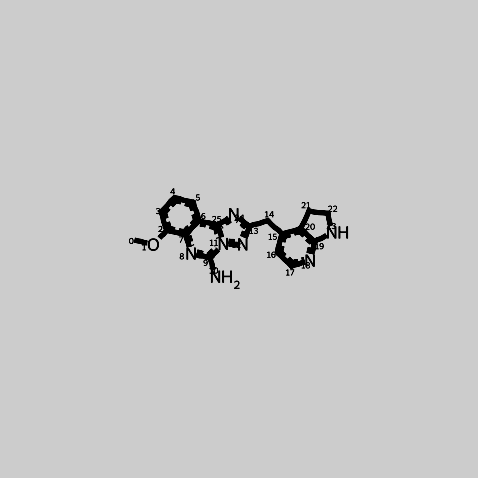 COc1cccc2c1nc(N)n1nc(Cc3ccnc4c3CCN4)nc21